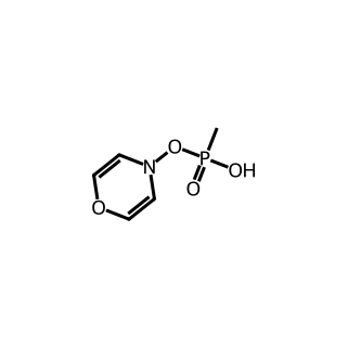 CP(=O)(O)ON1C=COC=C1